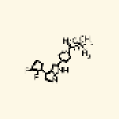 CC(C)(C)OC(=O)N1CC=C(c2cc3c(-c4cccc(F)c4F)ccnc3[nH]2)CC1